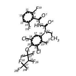 CCN(C(=O)NC(=O)c1c(F)cccc1F)c1cc(Cl)c(OC(F)(F)C(F)C(F)(F)F)c(Cl)c1F